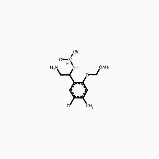 COCOc1cc(C)c(Cl)cc1C(CN)N[S@@+]([O-])C(C)(C)C